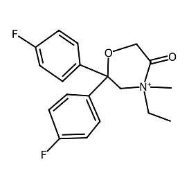 CC[N+]1(C)CC(c2ccc(F)cc2)(c2ccc(F)cc2)OCC1=O